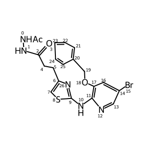 CC(=O)NNC(=O)CCc1csc(Nc2ncc(Br)cc2OCc2ccccc2)n1